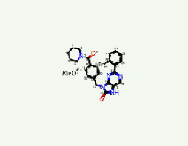 COC[C@@H]1CCCCN1C(=O)c1ccc(Cn2c(=O)[nH]c3cnc(-c4ccccc4C(C)C)nc32)cc1